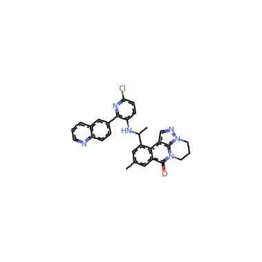 Cc1cc(C(C)Nc2ccc(Cl)nc2-c2ccc3ncccc3c2)c2c(c1)c(=O)n1c3c2cnn3CCC1